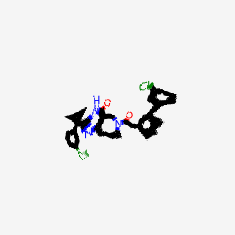 O=C(Cc1cccc(-c2cccc(Cl)c2)c1)N1CCCc2nc(C3(c4cccc(Cl)c4)CC3)[nH]c(=O)c2C1